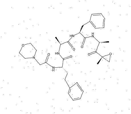 C[C@H](NC(=O)[C@H](CCc1ccccc1)NC(=O)CN1CCOCC1)C(=O)N[C@@H](Cc1ccccc1)C(=O)N[C@@H](C)C(=O)[C@@]1(C)CO1